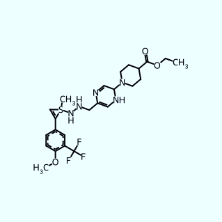 CCOC(=O)C1CCN(C2C=NC(CNNS3(C)C=C3c3ccc(OC)c(C(F)(F)F)c3)=CN2)CC1